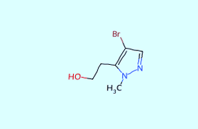 Cn1ncc(Br)c1CCO